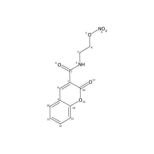 O=C(NCCO[N+](=O)[O-])c1cc2ccccc2oc1=O